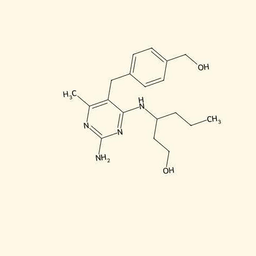 CCCC(CCO)Nc1nc(N)nc(C)c1Cc1ccc(CO)cc1